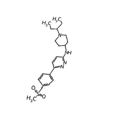 CCC(CC)N1CCC(Nc2ccc(-c3ccc(S(C)(=O)=O)cc3)nn2)CC1